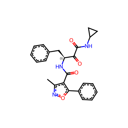 Cc1noc(-c2ccccc2)c1C(=O)N[C@@H](Cc1ccccc1)C(=O)C(=O)NC1CC1